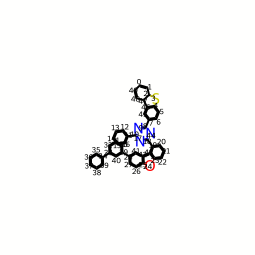 C1=CC2Sc3ccc(-c4nc(-c5ccccc5)nc(-c5cccc6oc7ccc(-c8cccc(-c9ccccc9)c8)cc7c56)n4)cc3C2C=C1